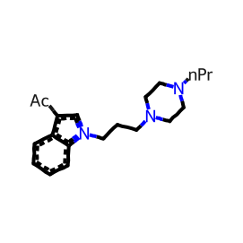 CCCN1CCN(CCCn2cc(C(C)=O)c3ccccc32)CC1